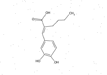 CCCC/C(=C\c1ccc(O)c(O)c1)C(=O)O